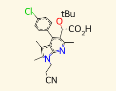 Cc1nc2c(c(C)c(C)n2CCC#N)c(-c2ccc(Cl)cc2)c1[C@H](OC(C)(C)C)C(=O)O